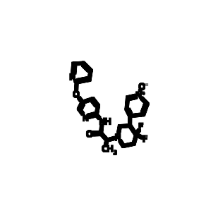 CC(C(=O)Nc1ccc(Oc2ccccn2)cn1)N1CCC(F)(F)C(c2cc[n+]([O-])cc2)C1